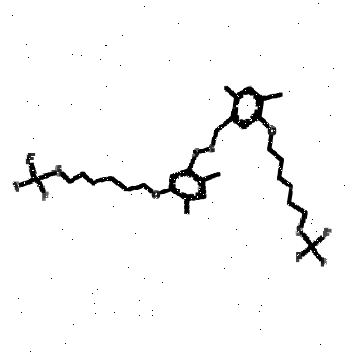 Cc1cc(C)c(OCCCCCCSC(F)(F)F)cc1CSSc1cc(OCCCCCCSC(F)(F)F)c(C)cc1C